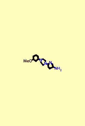 COc1cccc(N2CCN(c3ccc(N)cn3)CC2)c1